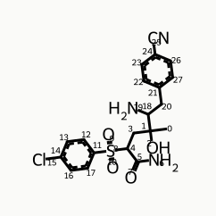 CC(O)(CC(C(N)=O)S(=O)(=O)c1ccc(Cl)cc1)C(N)Cc1ccc(C#N)cc1